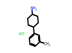 Cc1cccc(C2CCC(N)CC2)c1.Cl